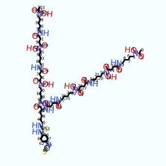 CC(=O)N(O)CCCCCNC(=O)CCC(=O)N(O)CCCCCNC(=O)CCC(=O)N(O)CCCCCNC(=O)CCC(=O)NC(CCCCNC(=S)Nc1ccc(N=C=S)cc1)C(=O)NCCCCCN(O)C(=O)CCC(=O)NCCCCCN(O)C(=O)CCC(=O)NCCCCCN(O)C(C)=O